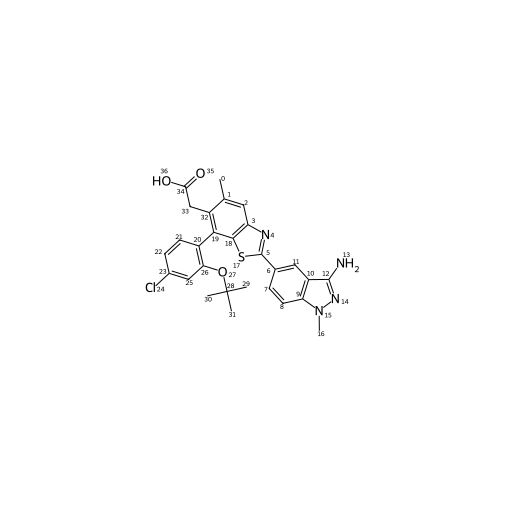 Cc1cc2nc(-c3ccc4c(c3)c(N)nn4C)sc2c(-c2ccc(Cl)cc2OC(C)(C)C)c1CC(=O)O